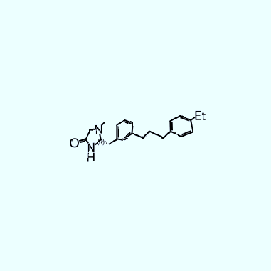 CCc1ccc(CCCc2cccc(C[C@@H]3NC(=O)CN3C)c2)cc1